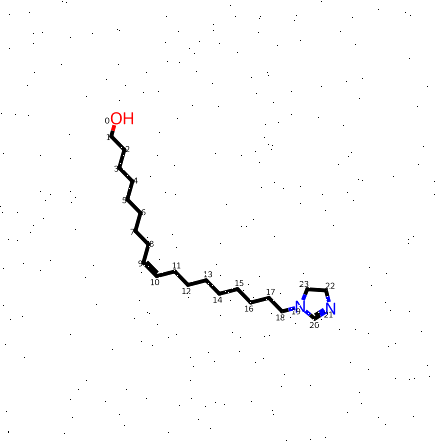 OCCCCCCCC/C=C\CCCCCCCCN1C=NCC1